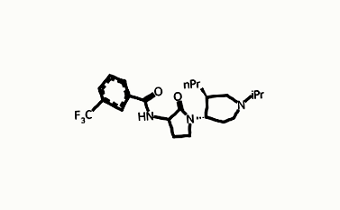 CCC[C@H]1CN(C(C)C)CC[C@@H]1N1CCC(NC(=O)c2cccc(C(F)(F)F)c2)C1=O